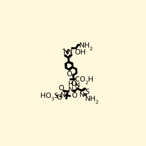 C[n+]1cc(-c2ccc3c(c2)CCC(C(C)(O/N=C(\C(=O)NC2C(=O)N(OS(=O)(=O)O)C2(C)C)c2csc(N)n2)C(=O)O)O3)cn1C[C@H](O)CN